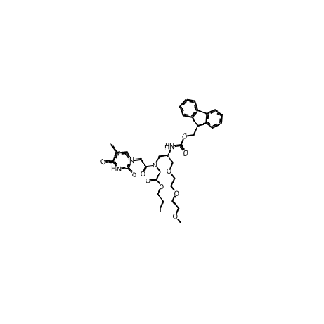 COCCOCCOC[C@@H](CN(CC(=O)OCCI)C(=O)Cn1cc(C)c(=O)[nH]c1=O)NC(=O)OCC1c2ccccc2-c2ccccc21